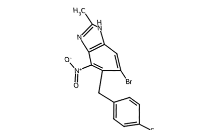 Cc1nc2c([N+](=O)[O-])c(Cc3ccc(F)cc3)c(Br)cc2[nH]1